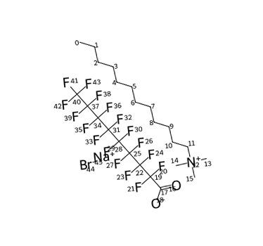 CCCCCCCCCCCC[N+](C)(C)C.O=C([O-])C(F)(F)C(F)(F)C(F)(F)C(F)(F)C(F)(F)C(F)(F)C(F)(F)C(F)(F)F.[Br-].[Na+]